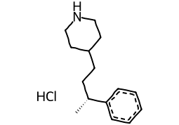 C[C@H](CCC1CCNCC1)c1ccccc1.Cl